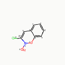 ON1Oc2ccccc2C=C1Cl